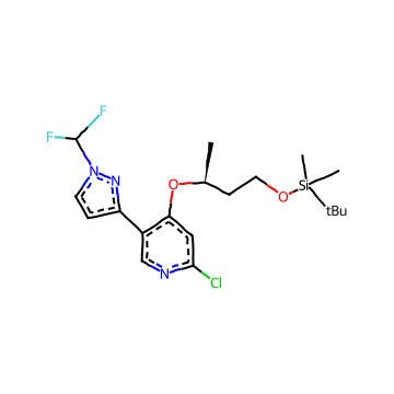 C[C@@H](CCO[Si](C)(C)C(C)(C)C)Oc1cc(Cl)ncc1-c1ccn(C(F)F)n1